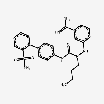 CCCCN(Nc1cccc(C(=N)N)c1)C(=O)Nc1ccc(-c2ccccc2S(N)(=O)=O)cc1